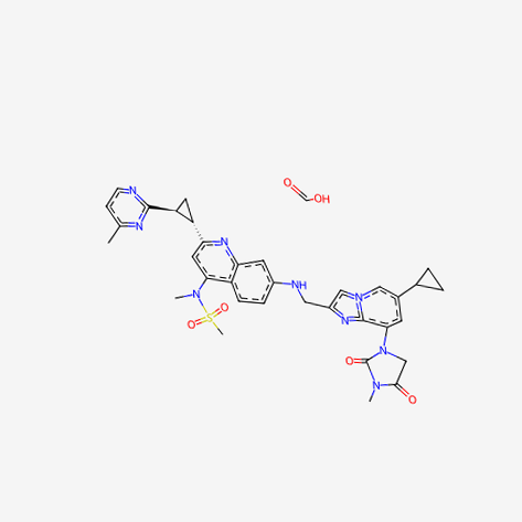 Cc1ccnc([C@H]2C[C@@H]2c2cc(N(C)S(C)(=O)=O)c3ccc(NCc4cn5cc(C6CC6)cc(N6CC(=O)N(C)C6=O)c5n4)cc3n2)n1.O=CO